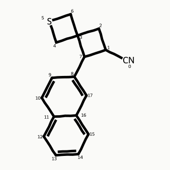 N#CC1CC2(CSC2)C1c1ccc2ccccc2c1